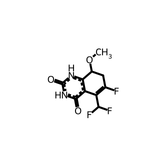 COC1CC(F)=C(C(F)F)c2c1[nH]c(=O)[nH]c2=O